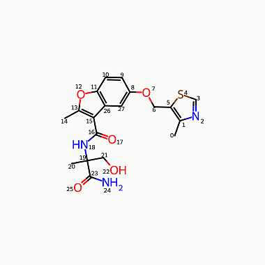 Cc1ncsc1COc1ccc2oc(C)c(C(=O)NC(C)(CO)C(N)=O)c2c1